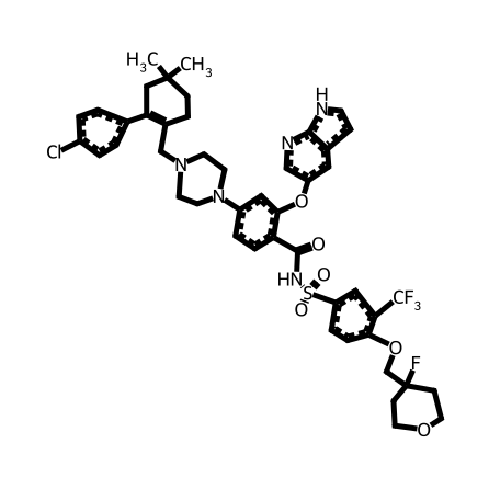 CC1(C)CCC(CN2CCN(c3ccc(C(=O)NS(=O)(=O)c4ccc(OCC5(F)CCOCC5)c(C(F)(F)F)c4)c(Oc4cnc5[nH]ccc5c4)c3)CC2)=C(c2ccc(Cl)cc2)C1